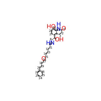 O=c1ccc2c([C@@H](O)CNCCCCCCOCCCCc3ccccc3)ccc(O)c2[nH]1